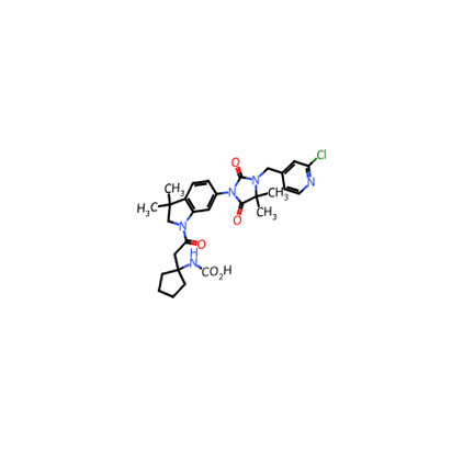 CC1(C)CN(C(=O)CC2(NC(=O)O)CCCC2)c2cc(N3C(=O)N(Cc4ccnc(Cl)c4)C(C)(C)C3=O)ccc21